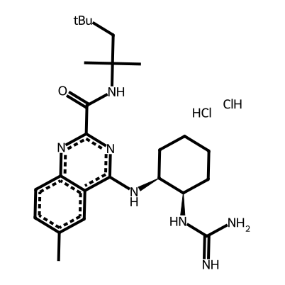 Cc1ccc2nc(C(=O)NC(C)(C)CC(C)(C)C)nc(N[C@H]3CCCC[C@H]3NC(=N)N)c2c1.Cl.Cl